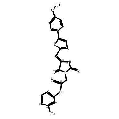 COc1ccc(-c2ccc(/C=C3\NC(=O)N(CC(=O)Nc4cccc(C)c4)C3=O)o2)cc1